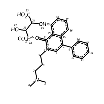 CN(C)CCCn1cc(-c2ccccc2)c2ccccc2c1=O.O=C(O)C(O)C(O)C(=O)O